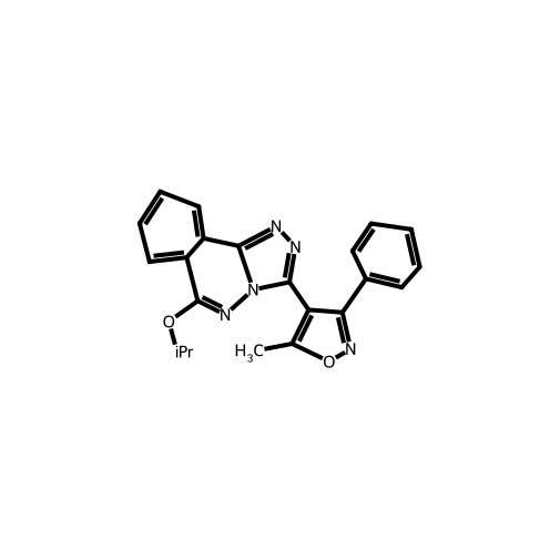 Cc1onc(-c2ccccc2)c1-c1nnc2c3ccccc3c(OC(C)C)nn12